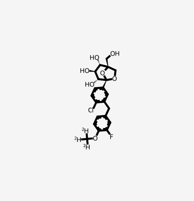 [2H]C([2H])([2H])Oc1ccc(Cc2cc([C@]34OC[C@](CO)(O3)[C@@H](O)[C@H](O)[C@H]4O)ccc2Cl)cc1F